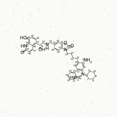 Nc1cc(N(C(=O)O)C2CCCCC2)c(-c2ccccc2)cc1CCCCn1c(=O)oc2cc(CNC[C@H](O)c3ccc(O)c4[nH]c(=O)ccc34)ccc21